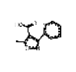 Cc1onc(-c2ccccn2)c1C(=O)O